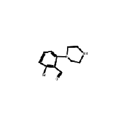 O=Cc1c(Br)cccc1N1CCNCC1